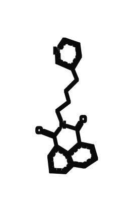 O=C1c2cccc3cccc(c23)C(=O)N1CCCCc1cccnc1